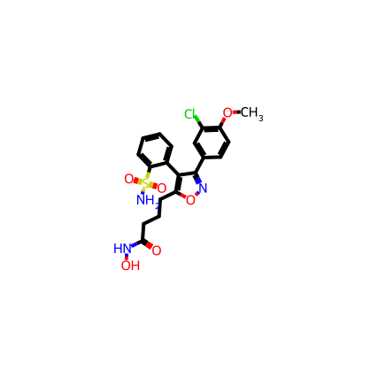 COc1ccc(-c2noc(CCCC(=O)NO)c2-c2ccccc2S(N)(=O)=O)cc1Cl